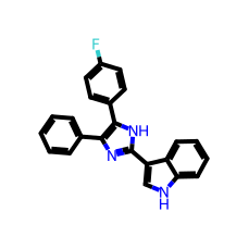 Fc1ccc(-c2[nH]c(-c3c[nH]c4ccccc34)nc2-c2ccccc2)cc1